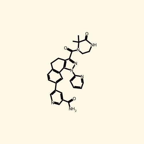 CC1(C)C(=O)NCCN1C(=O)c1nn(-c2ccccn2)c2c1CCc1ccc(-c3cncc(C(N)=O)c3)cc1-2